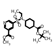 CCN([C@H]1CC[C@H](C(=O)OC(C)(C)C)CC1)S(=O)(=O)c1cncc(C(=O)OC)c1